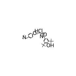 CN(C)Cc1ccc(OCCc2coc(-c3cc(C(C)(C)C)c(O)c(C(C)(C)C)c3)n2)cc1.Cl